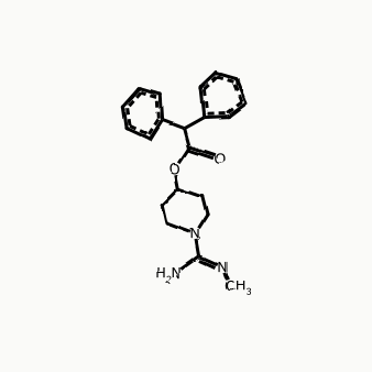 CN=C(N)N1CCC(OC(=O)C(c2ccccc2)c2ccccc2)CC1